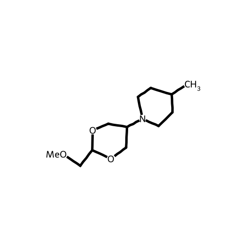 COCC1OCC(N2CCC(C)CC2)CO1